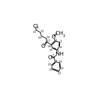 COc1ccc(NC(=O)c2ccccc2)cc1C(=O)CCCCCl